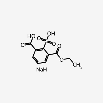 CCOC(=O)c1cccc(C(=O)O)c1S(=O)(=O)O.[NaH]